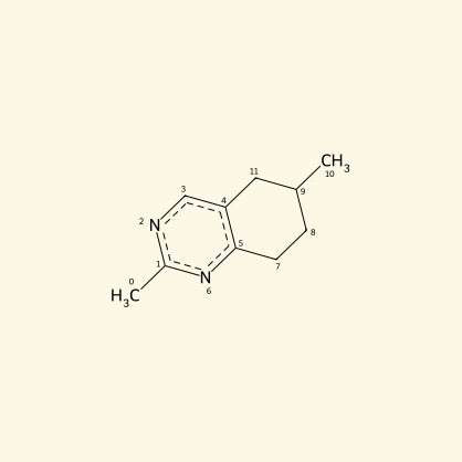 Cc1ncc2c(n1)CCC(C)C2